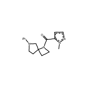 CC(C)N1CCC2(CCN2C(=O)c2ccnn2C)C1